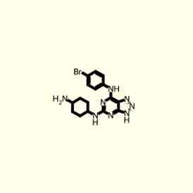 NC1CCC(Nc2nc(Nc3ccc(Br)cc3)c3nn[nH]c3n2)CC1